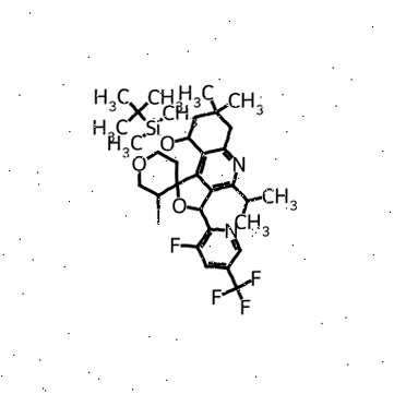 CC(C)c1nc2c(c3c1C(c1ncc(C(F)(F)F)cc1F)OC31CCOCC1I)C(O[Si](C)(C)C(C)(C)C)CC(C)(C)C2